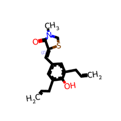 C=CCc1cc(/C=C2\SCN(C)C2=O)cc(CC=C)c1O